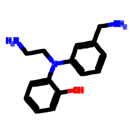 NCCN(c1cccc(CN)c1)c1ccccc1O